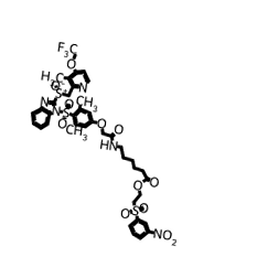 Cc1cc(OCC(=O)NCCCCCC(=O)OCCS(=O)(=O)c2cccc([N+](=O)[O-])c2)cc(C)c1S(=O)(=O)n1c([S+]([O-])Cc2nccc(OCC(F)(F)F)c2C)nc2ccccc21